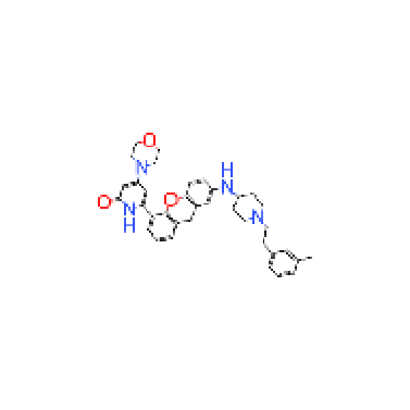 Cc1cccc(CCN2CCC(Nc3ccc4c(c3)Cc3cccc(-c5cc(N6CCOCC6)cc(=O)[nH]5)c3O4)CC2)c1